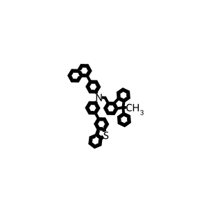 CC1(c2ccccc2)c2ccccc2-c2c(CN(c3ccc(-c4cccc5ccccc45)cc3)c3cccc(-c4ccc5sc6ccccc6c5c4)c3)cccc21